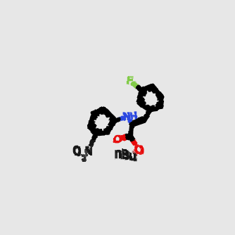 CCCCOC(=O)C(=Cc1cccc(F)c1)Nc1cccc([N+](=O)[O-])c1